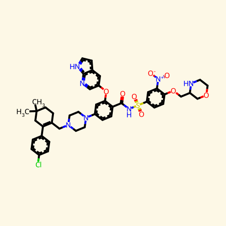 CC1(C)CCC(CN2CCN(c3ccc(C(=O)NS(=O)(=O)c4ccc(OCC5COCCN5)c([N+](=O)[O-])c4)c(Oc4cnc5[nH]ccc5c4)c3)CC2)=C(c2ccc(Cl)cc2)C1